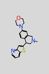 CN1Cc2cc(N3CCOCC3)ccc2C(c2cc3ncccc3s2)C1